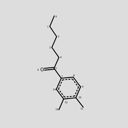 CCCCCC(=O)c1ccc(C)c(C)c1